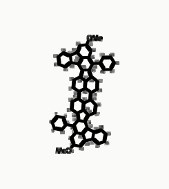 COc1cc2c(-c3ccccc3)c3c4ccc5c6ccc7c8c(ccc(c9ccc(c4c59)c3c3c4ccccc4c(c1)c23)c68)c1c(-c2ccccc2)c2cc(OC)cc3c4ccccc4c(c23)c71